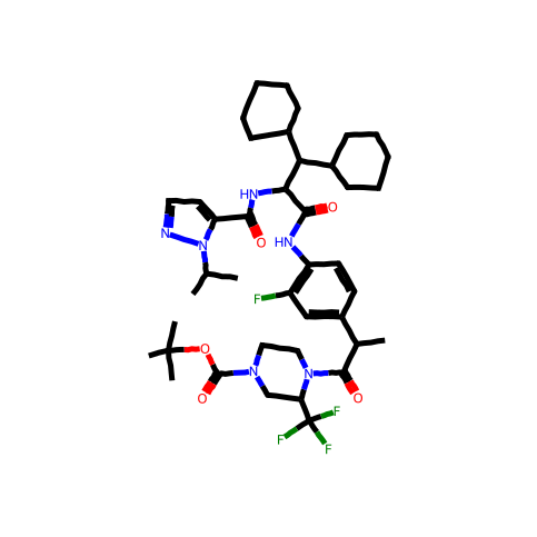 CC(C(=O)N1CCN(C(=O)OC(C)(C)C)CC1C(F)(F)F)c1ccc(NC(=O)C(NC(=O)c2ccnn2C(C)C)C(C2CCCCC2)C2CCCCC2)c(F)c1